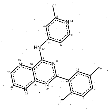 Cc1ccc(F)c(-c2nc(Nc3ccnc(C)c3)c3nccnc3n2)c1